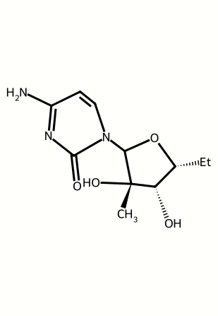 CC[C@H]1OC(n2ccc(N)nc2=O)[C@@](C)(O)[C@H]1O